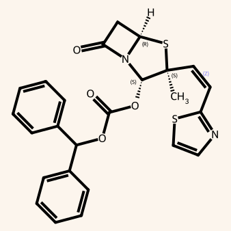 C[C@@]1(/C=C\c2nccs2)S[C@@H]2CC(=O)N2[C@H]1OC(=O)OC(c1ccccc1)c1ccccc1